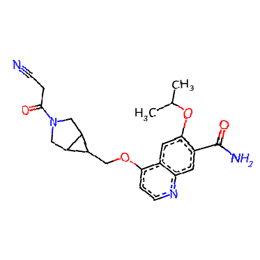 CC(C)Oc1cc2c(OCC3C4CN(C(=O)CC#N)CC34)ccnc2cc1C(N)=O